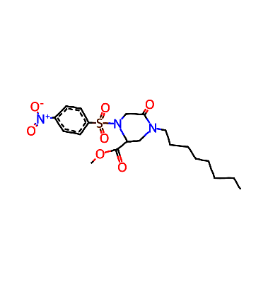 CCCCCCCCN1CC(C(=O)OC)N(S(=O)(=O)c2ccc([N+](=O)[O-])cc2)CC1=O